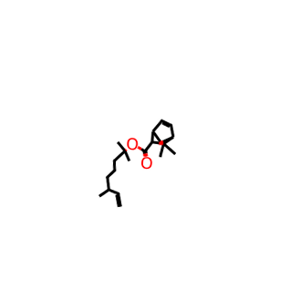 C=CC(C)CCCC(C)(C)OC(=O)C1C2C=CC(C2)C1(C)C